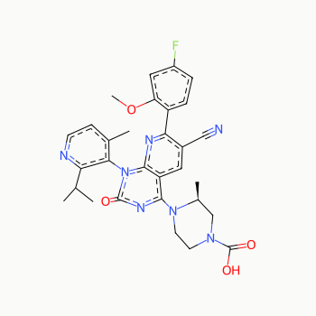 COc1cc(F)ccc1-c1nc2c(cc1C#N)c(N1CCN(C(=O)O)C[C@@H]1C)nc(=O)n2-c1c(C)ccnc1C(C)C